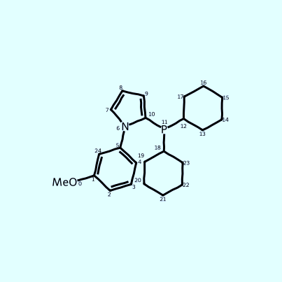 COc1cccc(-n2cccc2P(C2CCCCC2)C2CCCCC2)c1